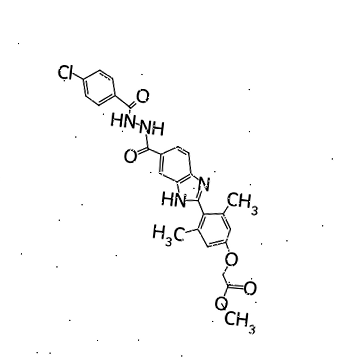 COC(=O)COc1cc(C)c(-c2nc3ccc(C(=O)NNC(=O)c4ccc(Cl)cc4)cc3[nH]2)c(C)c1